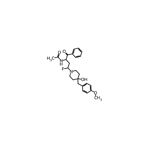 COc1ccc(CC2(O)CCN(C(F)CC(NC(C)=O)C(=O)c3ccccc3)CC2)cc1